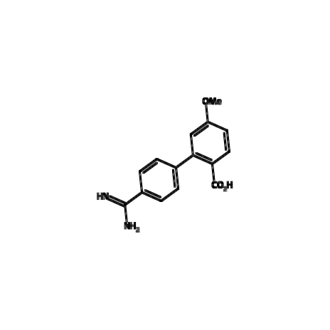 COc1ccc(C(=O)O)c(-c2ccc(C(=N)N)cc2)c1